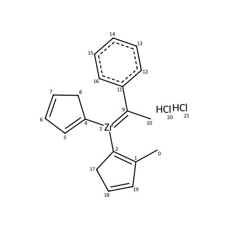 CC1=[C]([Zr]([C]2=CC=CC2)=[C](C)c2ccccc2)CC=C1.Cl.Cl